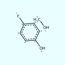 CO.Oc1ccc(F)cc1